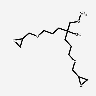 CC(CCCOCC1CO1)(CCCOCC1CO1)CO[SiH3]